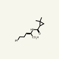 CC(C)CC/C=C(/NC(=O)C1CC1(C)C)C(=O)O